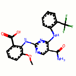 COc1cccc(C(=O)O)c1Nc1ncc(C(N)=O)c(Nc2ccccc2C(F)(F)F)n1